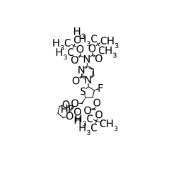 CC(C)(C)OC(=O)O[C@H]1[C@H](F)[C@H](n2ccc(N(C(=O)OC(C)(C)C)C(=O)OC(C)(C)C)nc2=O)S[C@@H]1CO[PH]1(O)OCCCO1